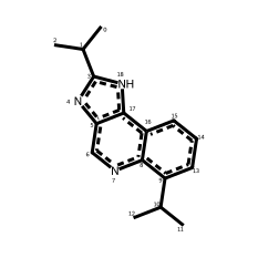 CC(C)c1nc2cnc3c(C(C)C)cccc3c2[nH]1